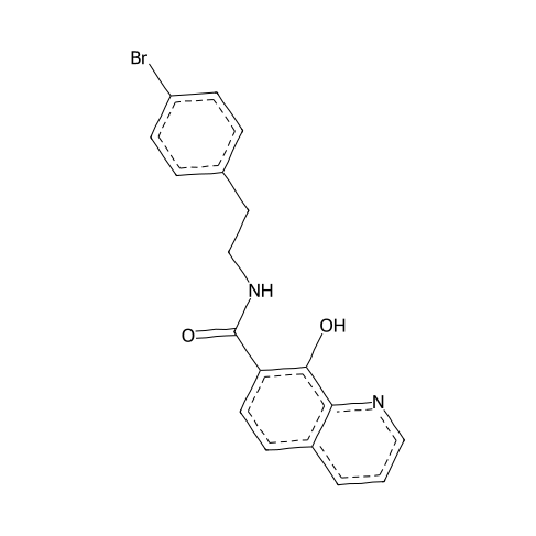 O=C(NCCc1ccc(Br)cc1)c1ccc2cccnc2c1O